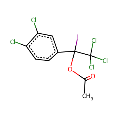 CC(=O)OC(I)(c1ccc(Cl)c(Cl)c1)C(Cl)(Cl)Cl